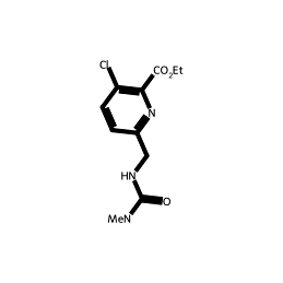 CCOC(=O)c1nc(CNC(=O)NC)ccc1Cl